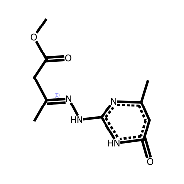 COC(=O)C/C(C)=N/Nc1nc(C)cc(=O)[nH]1